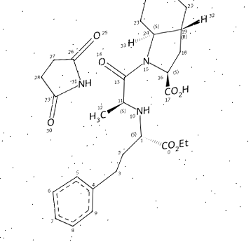 CCOC(=O)[C@H](CCc1ccccc1)N[C@@H](C)C(=O)N1[C@H](C(=O)O)C[C@H]2CCCC[C@@H]21.O=C1CCC(=O)N1